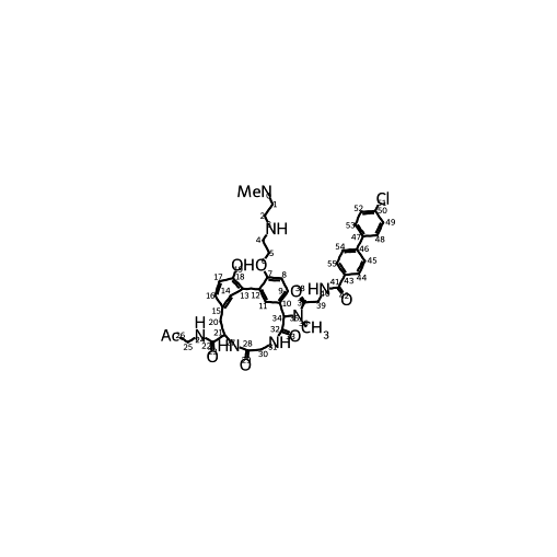 CNCCNCCOc1ccc2cc1-c1cc(ccc1O)CC(C(=O)NCC(C)=O)NC(=O)CNC(=O)C2N(C)C(=O)CNC(=O)c1ccc(-c2ccc(Cl)cc2)cc1